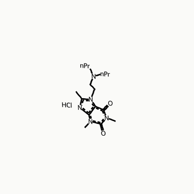 CCCN(CCC)CCn1c(C)nc2c1c(=O)n(C)c(=O)n2C.Cl